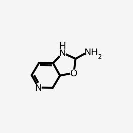 NC1NC2=CC=NCC2O1